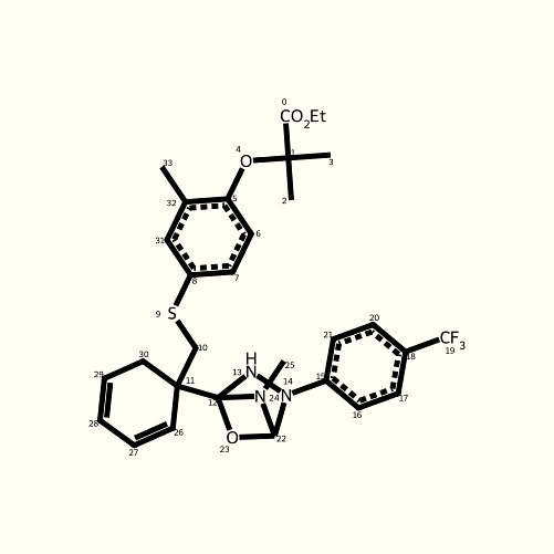 CCOC(=O)C(C)(C)Oc1ccc(SCC2(C34NN(c5ccc(C(F)(F)F)cc5)C(O3)N4C)C=CC=CC2)cc1C